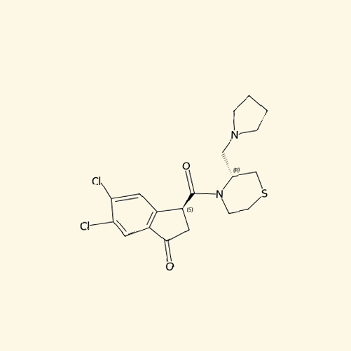 O=C1C[C@H](C(=O)N2CCSC[C@H]2CN2CCCC2)c2cc(Cl)c(Cl)cc21